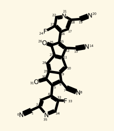 N#Cc1cc(-c2c(C#N)c3cc4c(C#N)c(-c5cc(C#N)ncc5F)c(=O)c4cc3c2=O)c(F)cn1